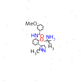 COc1cccc(C(=O)Nc2cccc(-c3ccnn3C)c2OC[C@H](C)N)c1